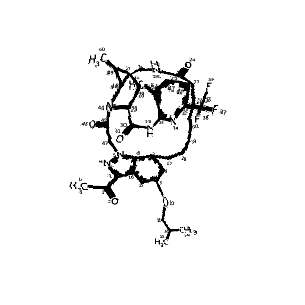 CC(=O)c1nn2c3c(cc(OCC(C)C)cc13)CCCCCCC(=O)NC[C@@]13C[C@@H](C(=O)Nc4nc(C(F)(F)F)ccc4C)N(C(=O)C2)C1C3C